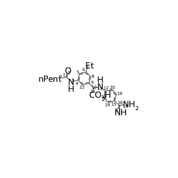 CCCCCC(=O)Nc1cc(CC)cc(C(Nc2ccc(C(=N)N)cc2)C(=O)O)c1